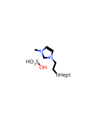 CCCCCCCCCN1C=CN(C)C1.O=S(=O)(O)O